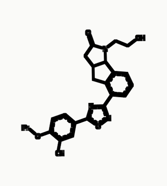 CC(C)Oc1ccc(-c2nc(-c3cccc4c3CC3CC(=O)N(CCO)C43)no2)cc1C#N